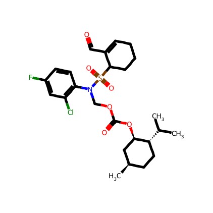 CC(C)[C@@H]1CC[C@@H](C)C[C@H]1OC(=O)OCN(c1ccc(F)cc1Cl)S(=O)(=O)C1CCCC=C1C=O